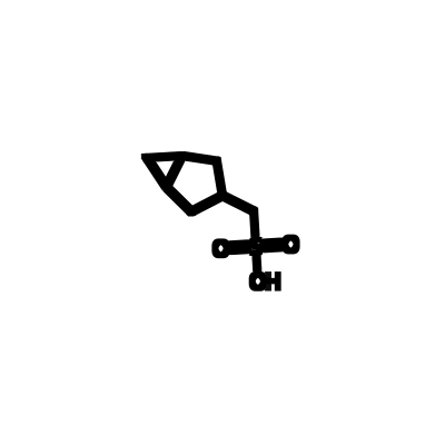 O=S(=O)(O)CC1CC2CC2C1